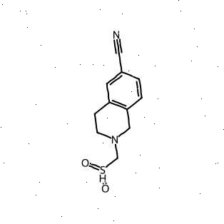 N#Cc1ccc2c(c1)CCN(C[SH](=O)=O)C2